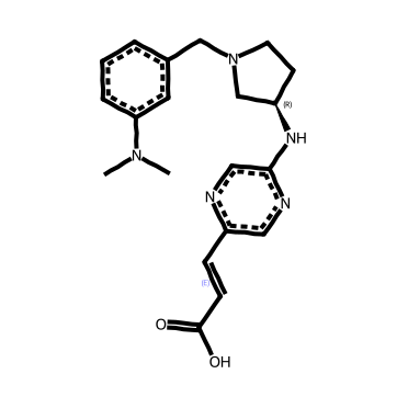 CN(C)c1cccc(CN2CC[C@@H](Nc3cnc(/C=C/C(=O)O)cn3)C2)c1